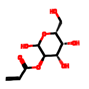 C=CC(=O)O[C@H]1C(O)O[C@H](CO)[C@H](O)[C@@H]1O